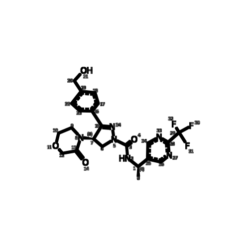 C[C@@H](NC(=O)N1C[C@@H](N2CCOCC2=O)C(c2ccc(CO)cc2)=N1)c1cnc(C(F)(F)F)nc1